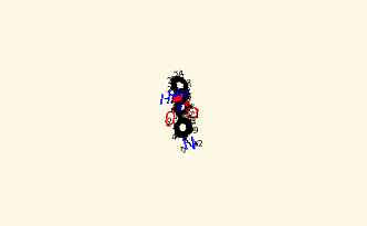 CN(C)c1ccc(N2C(=O)NC3c4ccccc4C(NC2=O)c2ccccc23)cc1